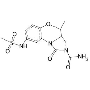 CC1Oc2ccc(NS(C)(=O)=O)cc2N2C(=O)N(C(N)=O)CC12